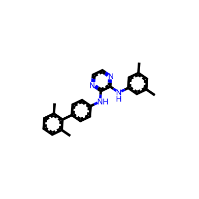 Cc1cc(C)cc(Nc2nccnc2Nc2ccc(-c3c(C)cccc3C)cc2)c1